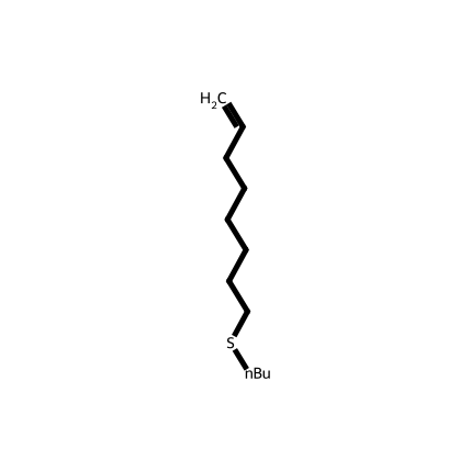 C=CCCCCCCSCCCC